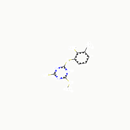 CSc1nc(S)nc(Sc2cccc(C)c2S)n1